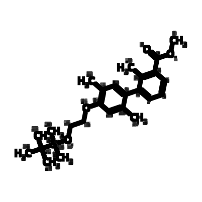 COC(=O)c1cccc(-c2cc(C)c(OCCO[Si](C)(C)C(C)(C)C)cc2C)c1C